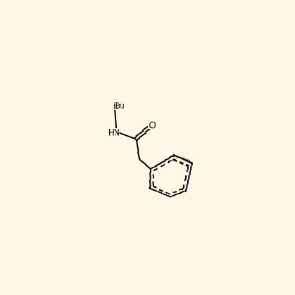 [CH2]CC(C)NC(=O)Cc1ccccc1